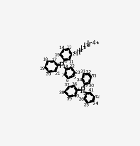 [I-].[I-].[I-].[I-].[Ir+4].c1ccc(P(c2ccccc2)c2ccccc2)cc1.c1ccc(P(c2ccccc2)c2ccccc2)cc1